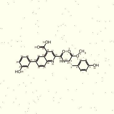 COC(=O)[C@H](Cc1ccc(O)cc1)NC(=O)c1cc(C(=O)O)c2cc(-c3cccc(O)c3)ccc2n1